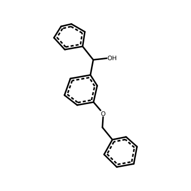 OC(c1ccccc1)c1cccc(OCc2ccccc2)c1